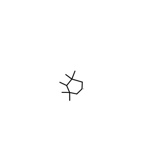 CC1C(C)(C)C[CH]CC1(C)C